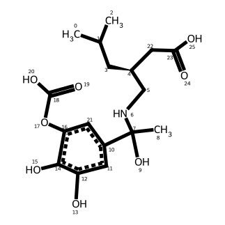 CC(C)C[C@H](CNC(C)(O)c1cc(O)c(O)c(OC(=O)O)c1)CC(=O)O